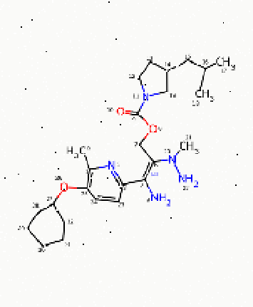 Cc1nc(/C(N)=C(\COC(=O)N2CCC(CC(C)C)C2)N(C)N)ccc1OC1CCCCC1